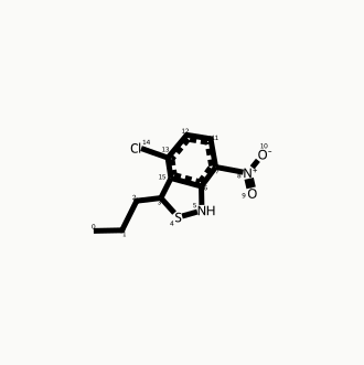 CCCC1SNc2c([N+](=O)[O-])ccc(Cl)c21